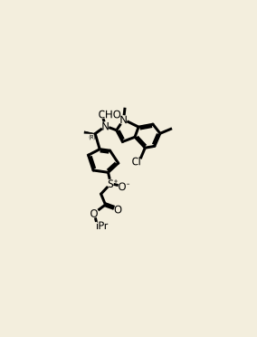 Cc1cc(Cl)c2cc(N(C=O)[C@H](C)c3ccc([S+]([O-])CC(=O)OC(C)C)cc3)n(C)c2c1